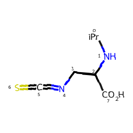 CC(C)NC(CN=C=S)C(=O)O